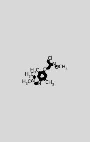 CCN(C)/C=N\c1cc(C)c(OC/C(CCl)=N\OC)cc1C